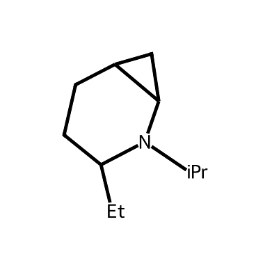 CCC1CCC2CC2N1C(C)C